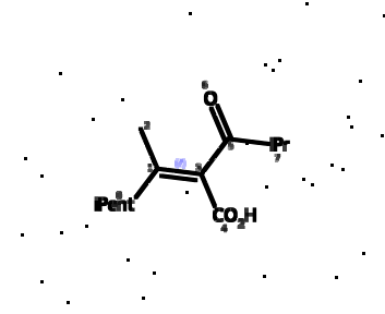 CCCC(C)/C(C)=C(\C(=O)O)C(=O)C(C)C